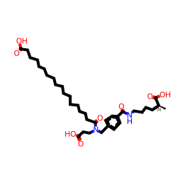 C[C@@H](CCCCNC(=O)c1ccc(CN(CCC(=O)O)C(=O)CCCCCCCCCCCCCCCCC(=O)O)cc1)C(=O)O